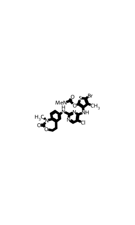 CNC(=O)Oc1sc(Br)c(C)c1Nc1nc(Nc2ccc3c(c2)CCOC(=O)N3C)ncc1Cl